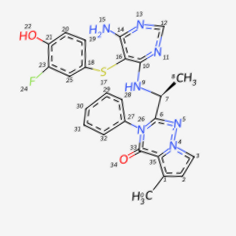 Cc1ccn2nc([C@H](C)Nc3ncnc(N)c3Sc3ccc(O)c(F)c3)n(-c3ccccc3)c(=O)c12